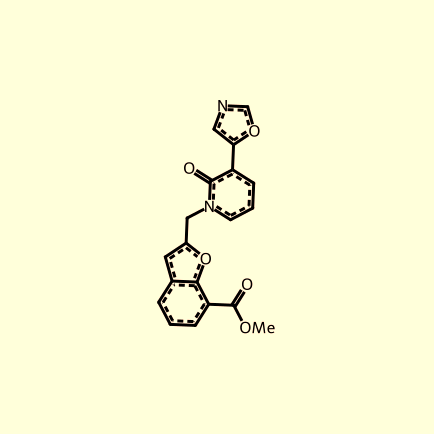 COC(=O)c1cccc2cc(Cn3cccc(-c4cnco4)c3=O)oc12